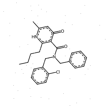 CCCCc1[nH]c(C)cc(=O)c1C(=O)N(Cc1ccccc1)Cc1ccccc1Cl